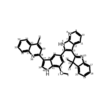 COc1cc(-c2[nH]c3ncccc3c2C2=Nc3ccccc3C2(C)C)cc2c(-c3cc(C)c4ccccc4n3)c[nH]c12